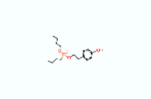 CCCCOP(=O)(CCCC)OCCc1ccc(O)cc1